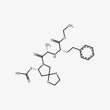 CCOC(=O)[C@H](CCc1ccccc1)N[C@@H](C)C(=O)N1CC2(C[C@@H]1OC(=O)O)SCCS2